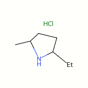 CCC1CCC(C)N1.Cl